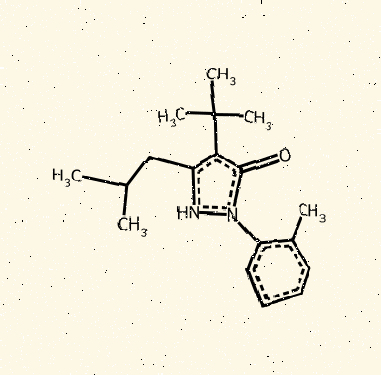 Cc1ccccc1-n1[nH]c(CC(C)C)c(C(C)(C)C)c1=O